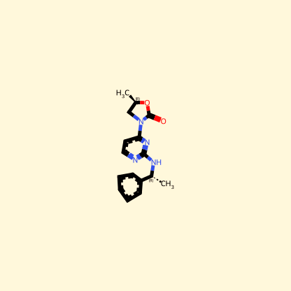 C[C@@H]1CN(c2ccnc(N[C@H](C)c3ccccc3)n2)C(=O)O1